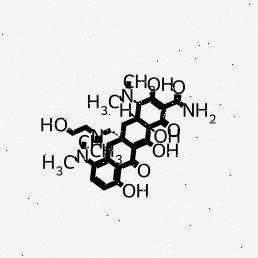 CN(CCO)C[C@@]12Cc3c(N(C)C)ccc(O)c3C(=O)C1=C(O)[C@]1(O)C(=O)C(C(N)=O)=C(O)[C@@H](N(C)C)[C@@H]1C2